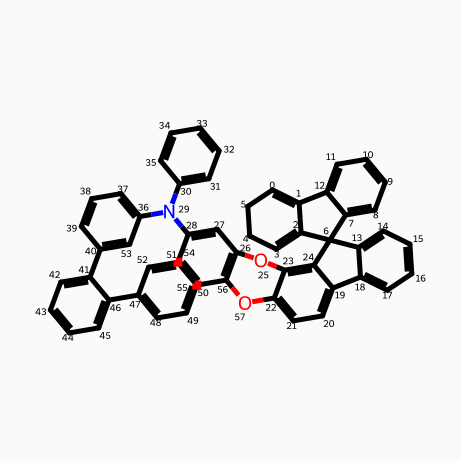 C1=C2C(=CCC1)C1(c3ccccc32)c2ccccc2-c2ccc3c(c21)Oc1cc(N(c2ccccc2)c2cccc(-c4ccccc4-c4ccccc4)c2)ccc1O3